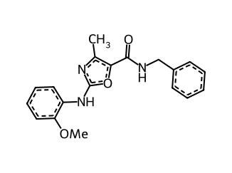 COc1ccccc1Nc1nc(C)c(C(=O)NCc2ccccc2)o1